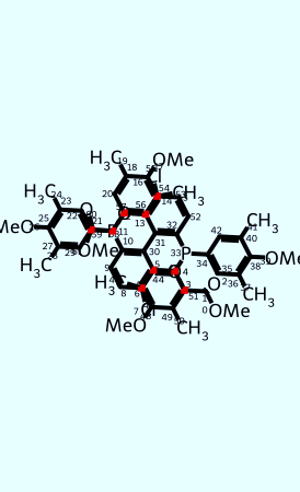 COC(=O)COc1c(Cl)ccc(P(c2cc(C)c(OC)c(C)c2)c2cc(C)c(OC)c(C)c2)c1-c1c(P(c2cc(C)c(OC)c(C)c2)c2cc(C)c(OC)c(C)c2)ccc(Cl)c1OCC(=O)OC